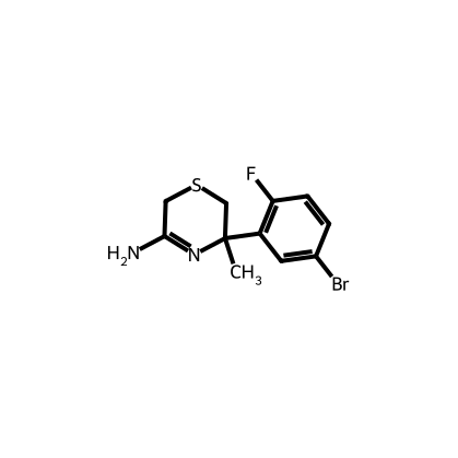 CC1(c2cc(Br)ccc2F)CSCC(N)=N1